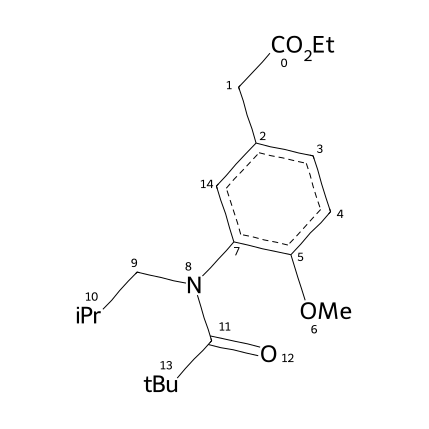 CCOC(=O)Cc1ccc(OC)c(N(CC(C)C)C(=O)C(C)(C)C)c1